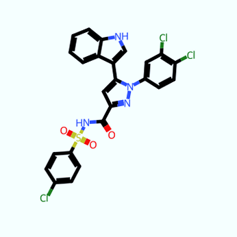 O=C(NS(=O)(=O)c1ccc(Cl)cc1)c1cc(-c2c[nH]c3ccccc23)n(-c2ccc(Cl)c(Cl)c2)n1